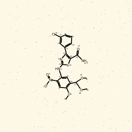 COc1cc([N+](=O)[O-])c(Nc2nc(-c3cccc(Cl)c3)c(C(N)=O)s2)cc1C(OC)OC